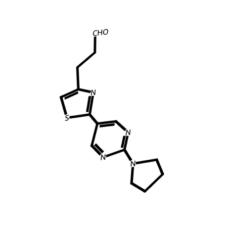 O=CCCc1csc(-c2cnc(N3CCCC3)nc2)n1